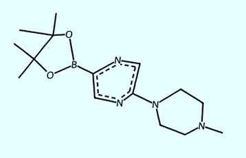 CN1CCN(c2cnc(B3OC(C)(C)C(C)(C)O3)cn2)CC1